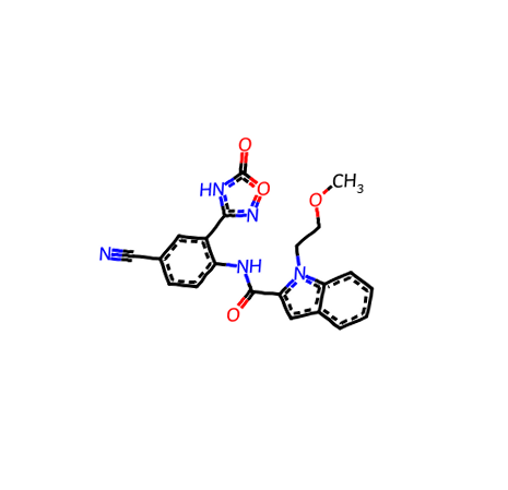 COCCn1c(C(=O)Nc2ccc(C#N)cc2-c2noc(=O)[nH]2)cc2ccccc21